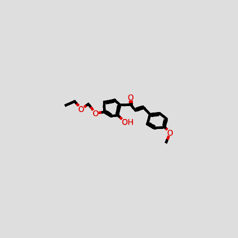 CCOCOc1ccc(C(=O)/C=C/c2ccc(OC)cc2)c(O)c1